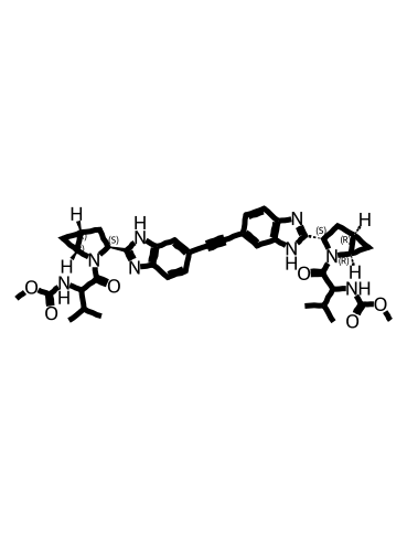 COC(=O)NC(C(=O)N1[C@@H]2C[C@@H]2C[C@H]1c1nc2ccc(C#Cc3ccc4nc([C@@H]5C[C@H]6C[C@H]6N5C(=O)C(NC(=O)OC)C(C)C)[nH]c4c3)cc2[nH]1)C(C)C